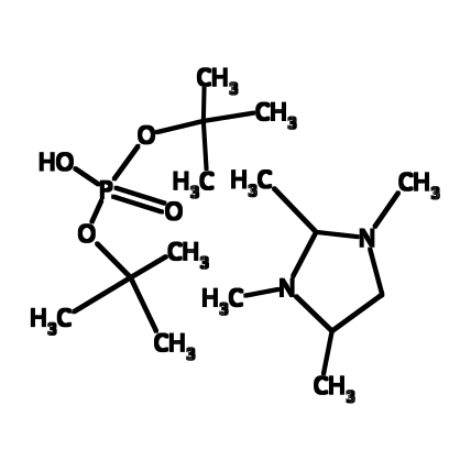 CC(C)(C)OP(=O)(O)OC(C)(C)C.CC1CN(C)C(C)N1C